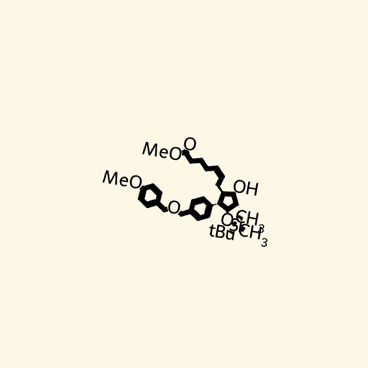 COC(=O)CCC/C=C\C[C@@H]1[C@@H](c2ccc(COCc3ccc(OC)cc3)cc2)[C@H](O[Si](C)(C)C(C)(C)C)C[C@@H]1O